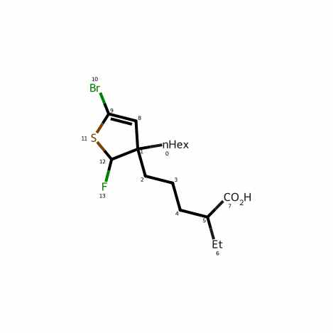 CCCCCCC1(CCCC(CC)C(=O)O)C=C(Br)SC1F